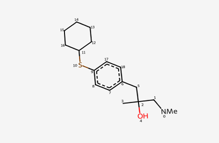 CNCC(C)(O)Cc1ccc(SC2CCCCC2)cc1